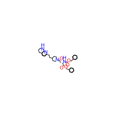 O=C(N[C@@H](CC(=O)N1CCC(CCc2ccc3c(n2)NCCC3)CC1)C(=O)OCc1ccccc1)OCc1ccccc1